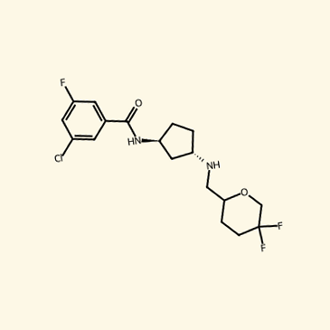 O=C(N[C@H]1CC[C@H](NCC2CCC(F)(F)CO2)C1)c1cc(F)cc(Cl)c1